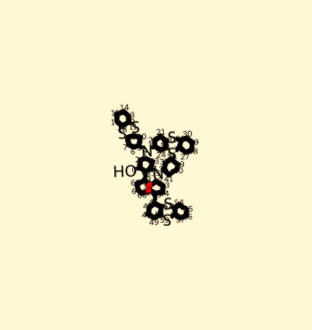 Oc1cc(N(c2ccc3c(c2)Sc2ccccc2S3)c2ccc3c(c2)Sc2ccccc2S3)cc(N(c2ccccc2)c2ccc(-c3cccc4c3Sc3ccccc3S4)cc2)c1-c1ccccc1